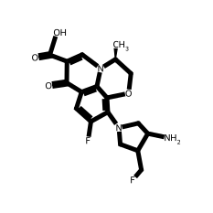 C[C@H]1COc2c(N3CC(N)C(CF)C3)c(F)cc3c(=O)c(C(=O)O)cn1c23